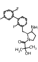 CC(C)(O)C(=O)N1CCC(N)C1Cc1cccc(-c2cc(F)ccc2F)c1F